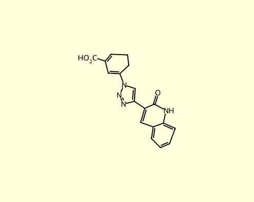 O=C(O)C1=CCCC(n2cc(-c3cc4ccccc4[nH]c3=O)nn2)=C1